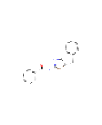 O=C(Nc1nc2c(s1)Cc1ccccc1-2)c1ccccc1